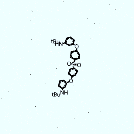 CC(C)(C)Nc1cccc(Oc2ccc(S(=O)(=O)c3ccc(Oc4cccc(NC(C)(C)C)c4)cc3)cc2)c1